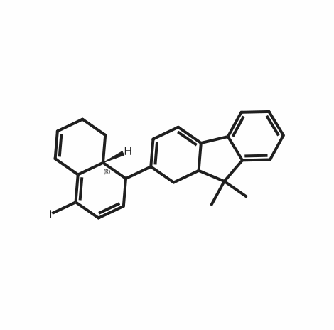 CC1(C)c2ccccc2C2=CC=C(C3C=CC(I)=C4C=CCC[C@@H]43)CC21